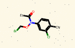 CCC(=O)N(OCBr)c1ccc(C#N)c(Cl)c1